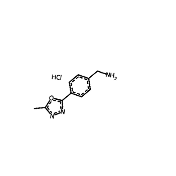 Cc1nnc(-c2ccc(CN)cc2)o1.Cl